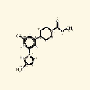 COC(=O)N1CCC(c2cc(Cl)nc(-n3ccc(C)n3)c2)CC1